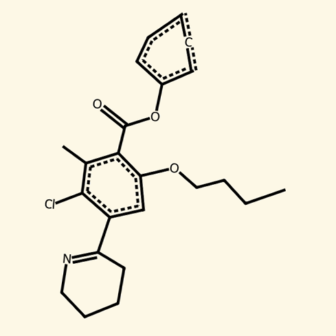 CCCCOc1cc(C2=NCCCC2)c(Cl)c(C)c1C(=O)Oc1ccccc1